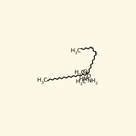 CCCCC/C=C\C/C=C\CCCCCCCCC(CCCCCCCCCCCCCCCCCC)(OC)OC(N)NC